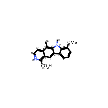 COc1cccc2c3cc4c(C(=O)O)nccc4c(C)c3n(C)c12